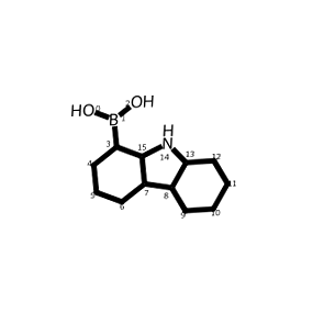 OB(O)C1CCCC2C3CCCCC3NC12